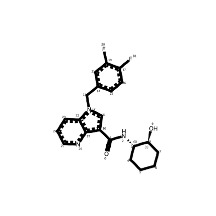 O=C(N[C@H]1CCCC[C@@H]1O)c1cn(Cc2ccc(F)c(F)c2)c2cccnc12